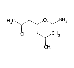 BCOC(CC(C)C)CC(C)C